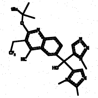 Cc1ncc(C(O)(c2ccc3nc(OC(C)(C)C(C)(C)C)c(CC(F)(F)F)c(C#N)c3c2)c2cnnn2C)n1C